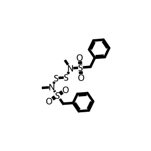 CN(SSN(C)S(=O)(=O)Cc1ccccc1)S(=O)(=O)Cc1ccccc1